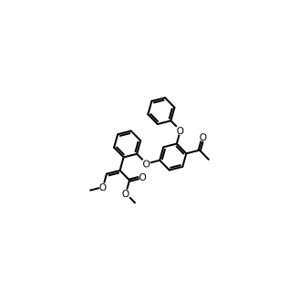 COC=C(C(=O)OC)c1ccccc1Oc1ccc(C(C)=O)c(Oc2ccccc2)c1